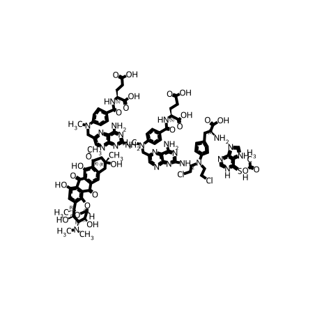 CC(=O)O.CN(Cc1cnc2nc(N)nc(N)c2n1)c1ccc(C(=O)N[C@@H](CCC(=O)O)C(=O)O)cc1.CN(Cc1cnc2nc(N)nc(N)c2n1)c1ccc(C(=O)N[C@@H](CCC(=O)O)C(=O)O)cc1.CO[C@@H]1C[C@](C)(O)Cc2cc3c(c(O)c21)C(=O)c1c(O)cc2c(c1C3=O)O[C@@H]1O[C@@]2(C)[C@H](O)[C@@H](N(C)C)[C@@H]1O.N[C@@H](Cc1ccc(N(CCCl)CCCl)cc1)C(=O)O.S=c1[nH]cnc2nc[nH]c12